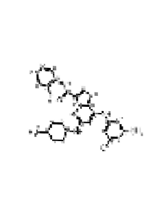 Nc1cc(Cl)cc(Nc2cc(NC3CCC(N)CC3)nn3c(C(=O)Nc4ccncc4F)cnc23)n1